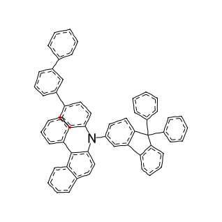 c1ccc(-c2cccc(-c3ccc(N(c4ccc5c(c4)-c4ccccc4C5(c4ccccc4)c4ccccc4)c4ccc5ccccc5c4-c4ccccc4)cc3)c2)cc1